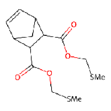 CSCOC(=O)C1C2C=CC(C2)C1C(=O)OCSC